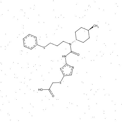 C[C@H]1CC[C@H](N(CCCSc2ccccc2)C(=O)Nc2ncc(SCC(=O)O)s2)CC1